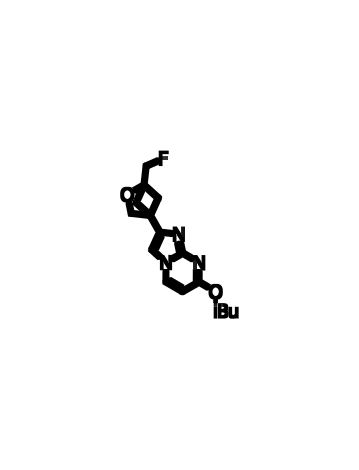 CC[C@@H](C)Oc1ccn2cc(C34COC(CF)(C3)C4)nc2n1